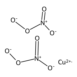 O=[N+]([O-])O[O-].O=[N+]([O-])O[O-].[Cu+2]